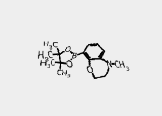 CN1CCOc2c(B3OC(C)(C)C(C)(C)O3)cccc21